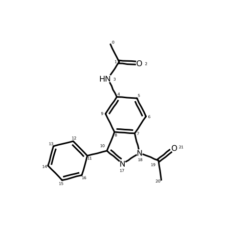 CC(=O)Nc1ccc2c(c1)c(-c1ccccc1)nn2C(C)=O